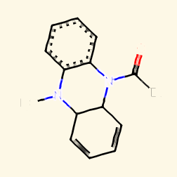 CCC(=O)N1c2ccccc2N(C)C2C=CC=CC21